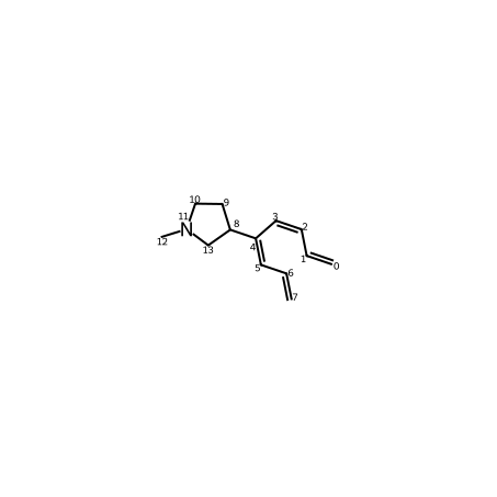 C=C/C=C\C(=C/C=C)C1CCN(C)C1